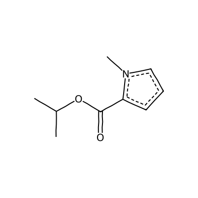 CC(C)OC(=O)c1cccn1C